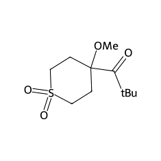 COC1(C(=O)C(C)(C)C)CCS(=O)(=O)CC1